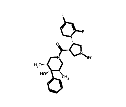 CC(C)N1C[C@@H](C(=O)N2C[C@@H](C)[C@](O)(c3ccccc3)[C@@H](C)C2)[C@H](C2CC=C(F)C=C2F)C1